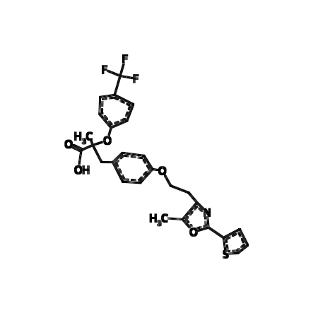 Cc1oc(-c2cccs2)nc1CCOc1ccc(CC(C)(Oc2ccc(C(F)(F)F)cc2)C(=O)O)cc1